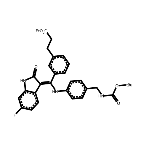 CCOC(=O)CCc1cccc(C(Nc2ccc(CNC(=O)OC(C)(C)C)cc2)=C2C(=O)Nc3cc(F)ccc32)c1